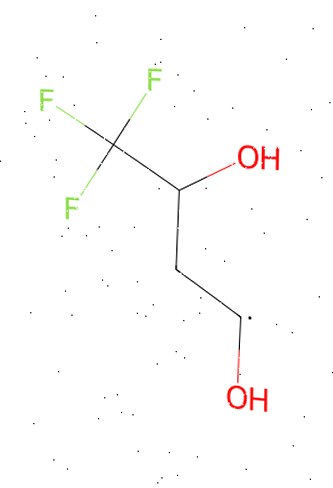 O[CH]CC(O)C(F)(F)F